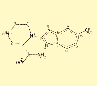 CCCC(N)[C@@H]1CNCCN1c1nc2ccc(C(F)(F)F)cc2s1